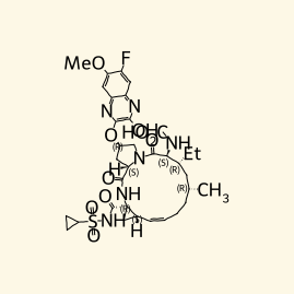 CC[C@@H]1C[C@H](C)CCC=C[C@@H]2C[C@@]2(C(=O)NS(=O)(=O)C2CC2)NC(=O)[C@@H]2C[C@@H](Oc3nc4cc(OC)c(F)cc4nc3O)CN2C(=O)[C@H]1NC(=O)O